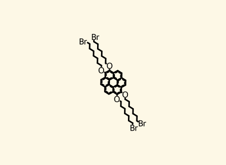 BrCCCCCCCOc1c(OCCCCCCCBr)c2ccc3ccc4c(OCCCCCCCBr)c(OCCCCCCCBr)c5ccc6ccc1c1c6c5c4c3c21